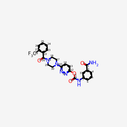 NC(=O)c1cccc(NC(=O)Oc2ccc(N3CCN(C(=O)c4ccccc4C(F)(F)F)CC3)nn2)c1